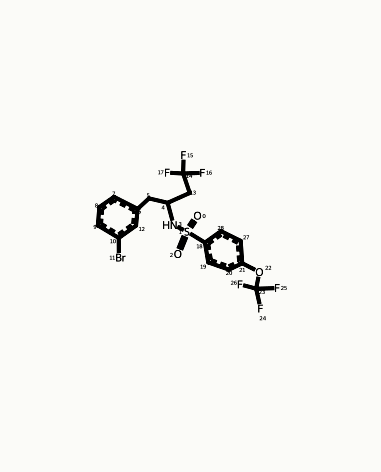 O=S(=O)(NC(Cc1cccc(Br)c1)CC(F)(F)F)c1ccc(OC(F)(F)F)cc1